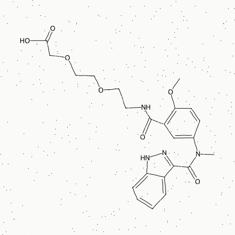 COc1ccc(N(C)C(=O)c2n[nH]c3ccccc23)cc1C(=O)NCCOCCOCC(=O)O